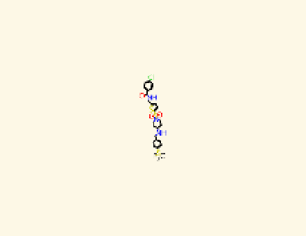 O=C(NCc1ccc(S(=O)(=O)N2CCC(NCc3ccc(SC(F)(F)F)cc3)CC2)s1)c1ccc(Cl)cc1